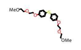 COCCOCCOc1ccc(Sc2ccc(OCCOCCOC)cc2)cc1